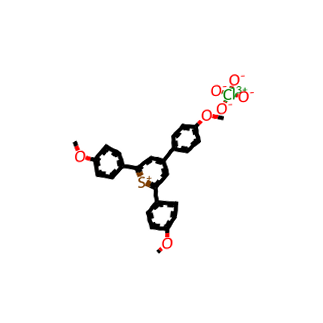 COc1ccc(-c2cc(-c3ccc(OC)cc3)[s+]c(-c3ccc(OC)cc3)c2)cc1.[O-][Cl+3]([O-])([O-])[O-]